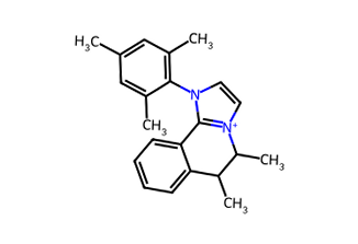 Cc1cc(C)c(-n2cc[n+]3c2-c2ccccc2C(C)C3C)c(C)c1